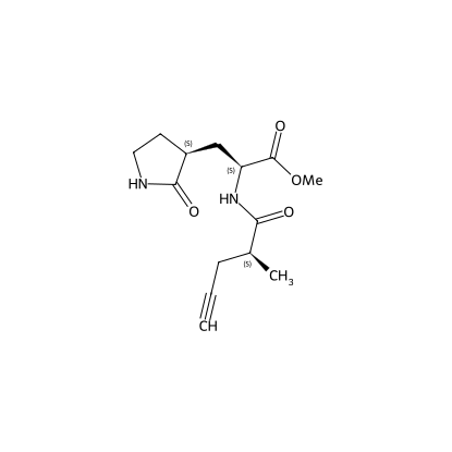 C#CC[C@H](C)C(=O)N[C@@H](C[C@@H]1CCNC1=O)C(=O)OC